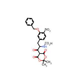 CC1(C)OC(=O)C(C(=O)C(Cc2ccc([N+](=O)[O-])c(OCc3ccccc3)c2)NC(=O)O)C(=O)O1